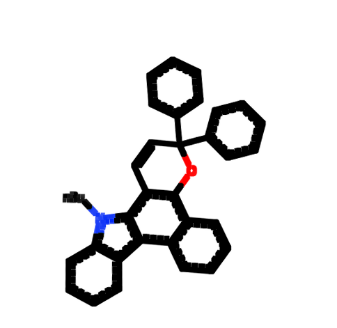 CCCCn1c2ccccc2c2c3ccccc3c3c(c21)C=CC(c1ccccc1)(c1ccccc1)O3